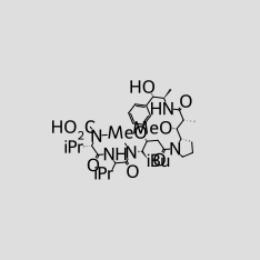 CC[C@H](C)[C@@H]([C@@H](CC(=O)N1CCC[C@H]1[C@H](OC)[C@@H](C)C(=O)N[C@H](C)[C@@H](O)c1ccccc1)OC)N(C)C(=O)C(NC(=O)[C@H](C(C)C)N(C)C(=O)O)C(C)C